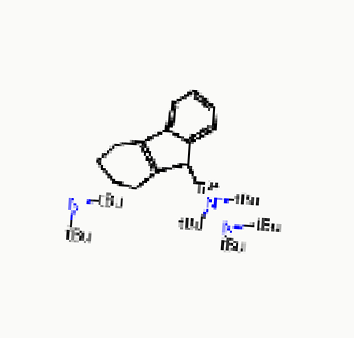 CC(C)(C)[N-]C(C)(C)C.CC(C)(C)[N-]C(C)(C)C.CC(C)(C)[N-]C(C)(C)C.[Ti+3][CH]1C2=C(CCCC2)c2ccccc21